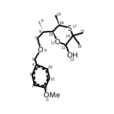 COc1ccc(COC[C@H](C)[C@@H]2OC(O)C(C)(C)S[C@@H]2C)cc1